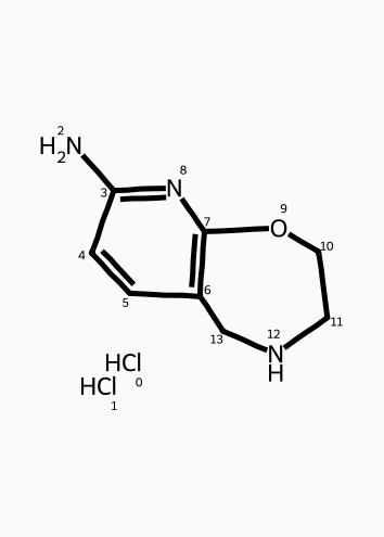 Cl.Cl.Nc1ccc2c(n1)OCCNC2